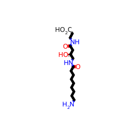 NCCCCCCCCC(=O)NC[C@@H](O)CC(=O)NCCC(=O)O